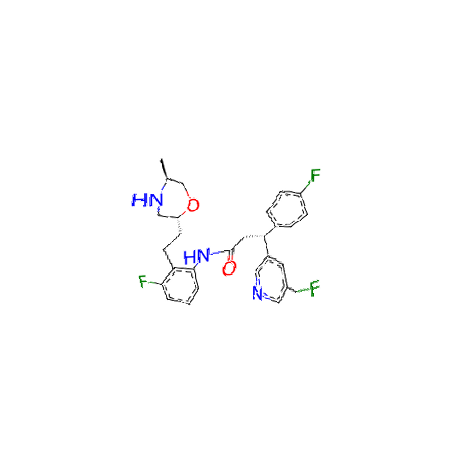 C[C@H]1CO[C@H](CCc2c(F)cccc2NC(=O)C[C@H](c2ccc(F)cc2)c2cncc(F)c2)CN1